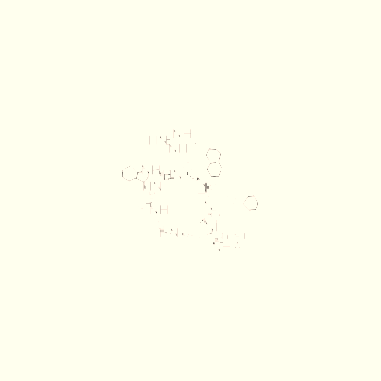 CCCC[C@H](NC(C)=O)C(=O)N[C@H]1CCC(=O)NCCCNC(=O)[C@H](Cc2c[nH]c3ccccc23)NC(=O)[C@H](CCCNC(=N)N)NC(=O)[C@@H](Cc2cccc3ccccc23)NC(=O)C2CC(OCc3ccccc3)CN2C1=O